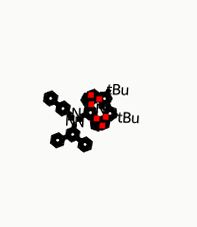 CC(C)(C)c1cc(-c2ccccc2)c2c(c1)c1cc(C(C)(C)C)cc(-c3ccccc3)c1n2-c1c(-c2ccccc2)cc(-c2nc(-c3ccc(-c4ccccc4)cc3)nc(-c3cc(-c4ccccc4)cc(-c4ccccc4)c3)n2)cc1-c1ccccc1